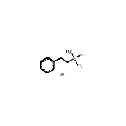 C[N+](C)(C)CCc1ccccc1.[OH-]